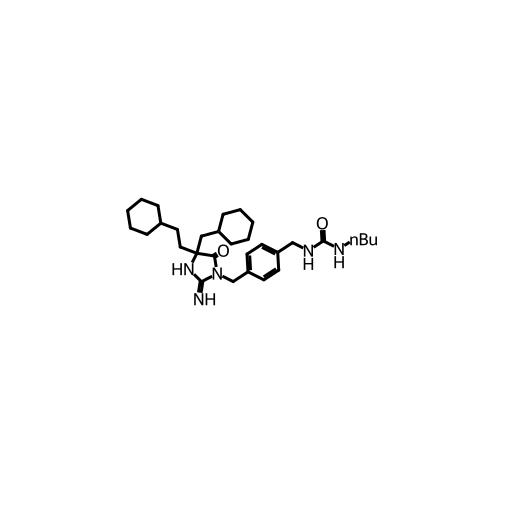 CCCCNC(=O)NCc1ccc(CN2C(=N)NC(CCC3CCCCC3)(CC3CCCCC3)C2=O)cc1